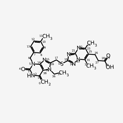 C=C1NC(=O)N(Cc2ccc(C)cc2)c2nc(CSc3nc4nc(C)c(CCC(=O)O)c(C)n4n3)n(CC)c21